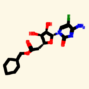 Nc1nc(=O)n([C@@H]2O[C@H](CC(=O)OCC3CCCCC3)[C@@H](O)[C@H]2O)cc1F